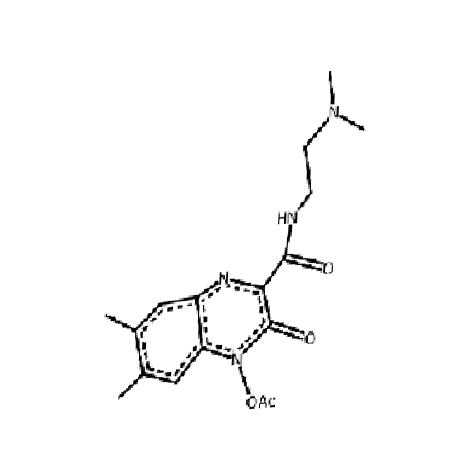 CC(=O)On1c(=O)c(C(=O)NCCN(C)C)nc2cc(C)c(C)cc21